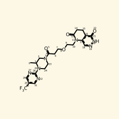 CC1CN(C(=O)CCOCCN2C(=O)CCc3c2cn[nH]c3=O)CCN1c1ncc(C(F)(F)F)cn1